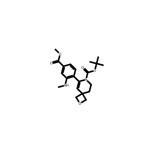 CNc1cc(C(=O)OC)ccc1C1=CC2(CCN1C(=O)OC(C)(C)C)COC2